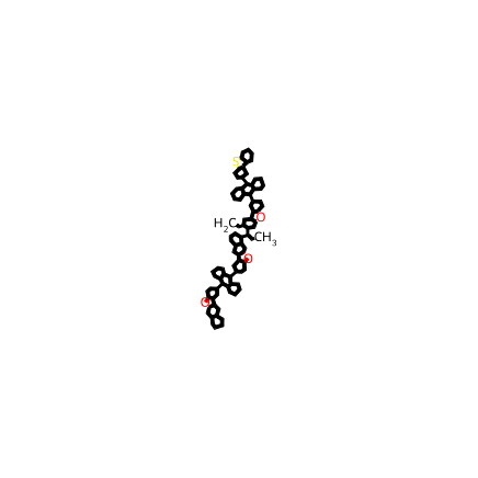 C=Cc1cc2c(cc1/C(=C\C)c1cccc3cc4c(cc13)oc1ccc(-c3c5ccccc5c(-c5ccc6oc7cc8ccccc8cc7c6c5)c5ccccc35)cc14)oc1ccc(-c3c4ccccc4c(-c4ccc5sc6ccccc6c5c4)c4ccccc34)cc12